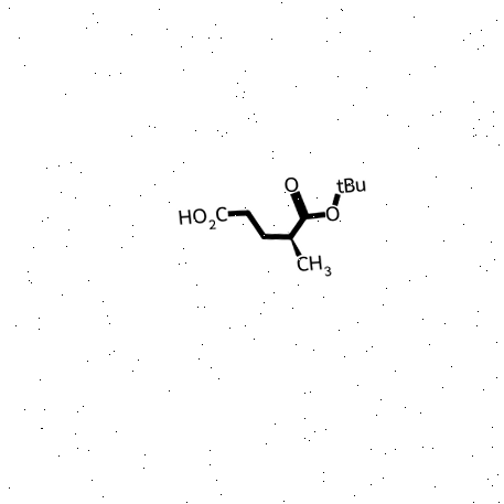 C[C@@H](CCC(=O)O)C(=O)OC(C)(C)C